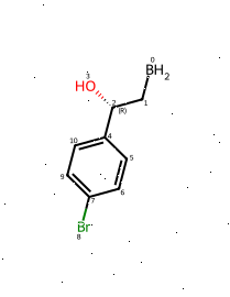 BC[C@@H](O)c1ccc(Br)cc1